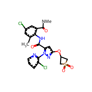 CNC(=O)c1cc(Cl)cc(C)c1NC(=O)c1cc(OC2CS(=O)(=O)C2)nn1-c1ncccc1Cl